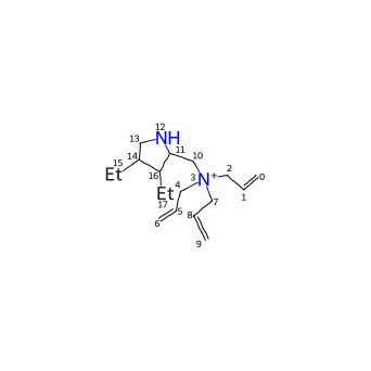 C=CC[N+](CC=C)(CC=C)CC1NCC(CC)C1CC